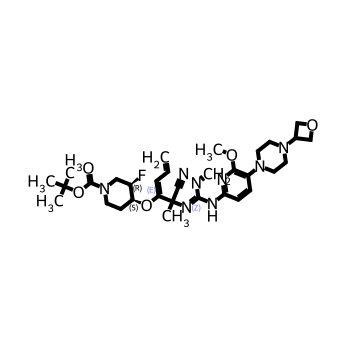 C=C/C=C(/O[C@H]1CCN(C(=O)OC(C)(C)C)C[C@H]1F)C(C)(C#N)/N=C(\N=C)Nc1ccc(N2CCN(C3COC3)CC2)c(OC)n1